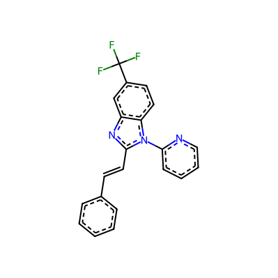 FC(F)(F)c1ccc2c(c1)nc(C=Cc1ccccc1)n2-c1ccccn1